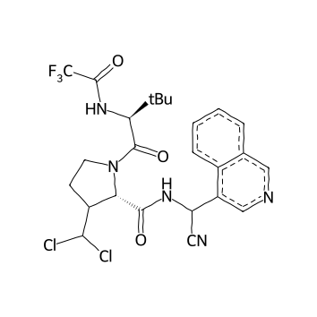 CC(C)(C)[C@H](NC(=O)C(F)(F)F)C(=O)N1CCC(C(Cl)Cl)[C@H]1C(=O)NC(C#N)c1cncc2ccccc12